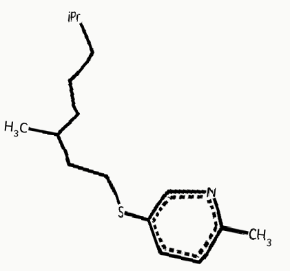 Cc1ccc(SCCC(C)CCCC(C)C)cn1